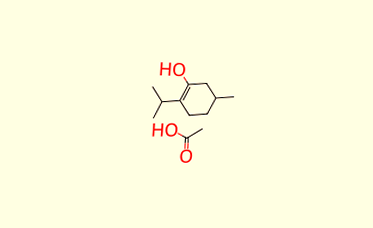 CC(=O)O.CC1CCC(C(C)C)=C(O)C1